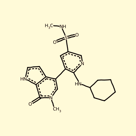 CNS(=O)(=O)c1cnc(NC2CCCCC2)c(-c2cn(C)c(=O)c3[nH]ccc23)c1